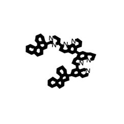 c1ccc2c(c1)ccc1cc(-c3cc(-c4ccc5c(-c6cc7ccc(-c8ccnc(-c9cc%10ccc%11ccccc%11c%10c%10ccccc9%10)n8)nc7c7ncccc67)cc6cccnc6c5n4)c4cnccc4c3)c3ccccc3c12